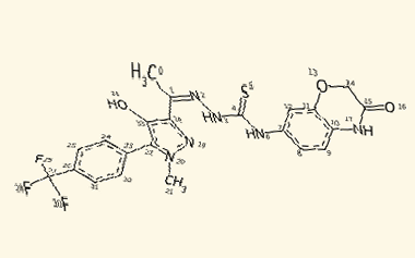 CC(=NNC(=S)Nc1ccc2c(c1)OCC(=O)N2)c1nn(C)c(-c2ccc(C(F)(F)F)cc2)c1O